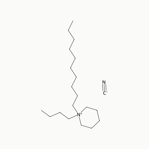 CCCCCCCCCC[N+]1(CCCC)CCCCC1.[C-]#N